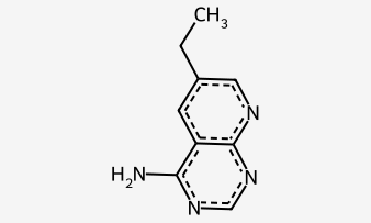 CCc1cnc2ncnc(N)c2c1